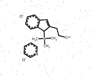 C[Si](C)(C)C1C(C[CH2][Cr+2])=Cc2ccccc21.[Cl-].[Cl-].c1ccncc1